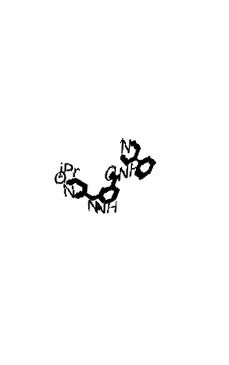 CC(C)Oc1ccc(-c2n[nH]c3ccc(C(=O)N[C@@H]4CN(C)CC[C@H]4C4=CCCC=C4)cc23)cn1